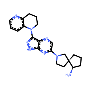 N[C@@H]1CCC[C@]12CCN(c1cnc3c(N4CCCc5ncccc54)n[nH]c3n1)C2